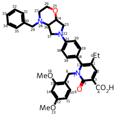 CCc1cc(C(=O)O)c(=O)n(Cc2ccc(OC)cc2OC)c1-c1ccc(N2CC3OCCN(Cc4ccccc4)C3C2)cc1